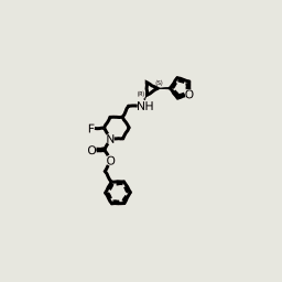 O=C(OCc1ccccc1)N1CCC(CN[C@@H]2C[C@H]2c2ccoc2)CC1F